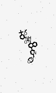 CCOc1c(NC(=O)Nc2ccc(-c3ccc(CN4CCOCC4)nc3)c3ccccc23)cccc1C(C)(C)C